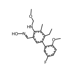 CCc1c(-c2cc(F)ccc2OC)cc(/C=N/O)c(NCOC)c1C